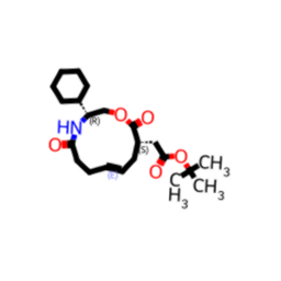 CC(C)(C)OC(=O)C[C@@H]1C/C=C/CCC(=O)N[C@H](C2CCCCC2)COC1=O